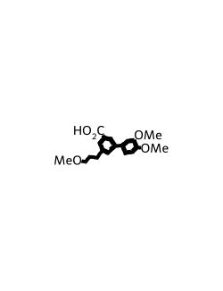 COCCCc1cc(C(=O)O)cc(-c2ccc(OC)c(OC)c2)c1